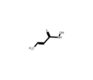 CC=CC(=S)NO